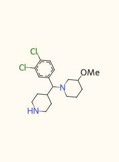 COC1CCCN(C(c2ccc(Cl)c(Cl)c2)C2CCNCC2)C1